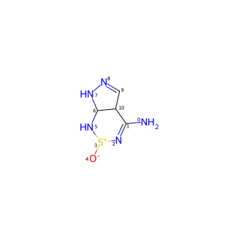 NC1=N[S+]([O-])NC2NN=CC12